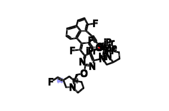 COc1c(F)c(-c2cccc3ccc(F)c(C#C[Si](C(C)C)(C(C)C)C(C)C)c23)c(F)c2nc(OC[C@@]34CCCN3C/C(=C\F)C4)nc(N3CC4CCC(C3)N4)c12